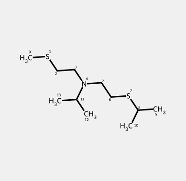 CSCCN(CCSC(C)C)C(C)C